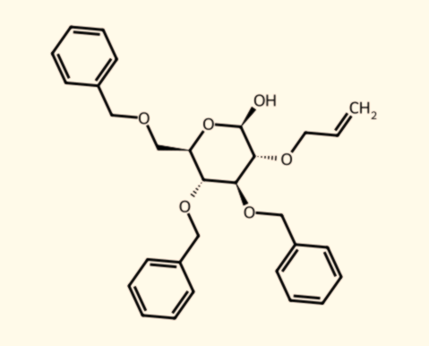 C=CCO[C@@H]1[C@@H](OCc2ccccc2)[C@H](OCc2ccccc2)[C@@H](COCc2ccccc2)O[C@H]1O